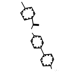 COc1ccc(-c2ccc(OC(=O)c3ccc(C)cc3)cc2)cc1